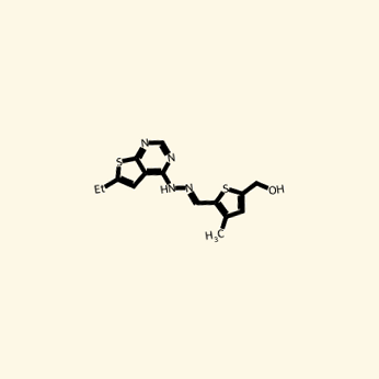 CCc1cc2c(NN=Cc3sc(CO)cc3C)ncnc2s1